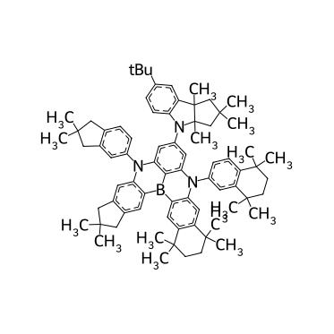 CC1(C)Cc2ccc(N3c4cc5c(cc4B4c6cc7c(cc6N(c6ccc8c(c6)C(C)(C)CCC8(C)C)c6cc(N8c9ccc(C(C)(C)C)cc9C9(C)CC(C)(C)CC89C)cc3c64)C(C)(C)CCC7(C)C)CC(C)(C)C5)cc2C1